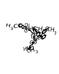 CNC(=O)CCC(=O)O[C@@H]1C[C@@H](COC(c2ccccc2)(c2ccc(OC)cc2)c2ccc(OC)cc2)N(C(=O)CCCCCNC(=O)[C@@H](C)c2ccc3cc(C)ccc3c2)C1